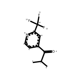 CC(C)C(=O)c1ccnc(C(F)(F)F)c1